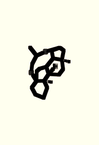 CC1COC23CCCC[C@]2(C)[C@H]2CC[C@]4(C)CC(CC4C2CC3)O1